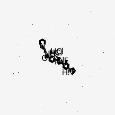 Cl.Cl.O=C(NCCCN1CCCCC1)c1ccc2c(c1)sc1nc(-c3ccc([C@H]4CCCN4)cc3F)cn12